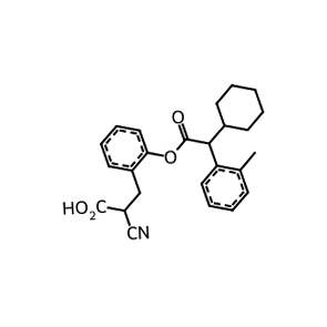 Cc1ccccc1C(C(=O)Oc1ccccc1CC(C#N)C(=O)O)C1CCCCC1